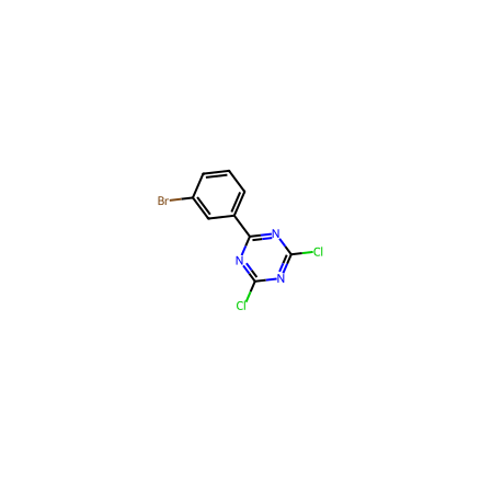 Clc1nc(Cl)nc(-c2cccc(Br)c2)n1